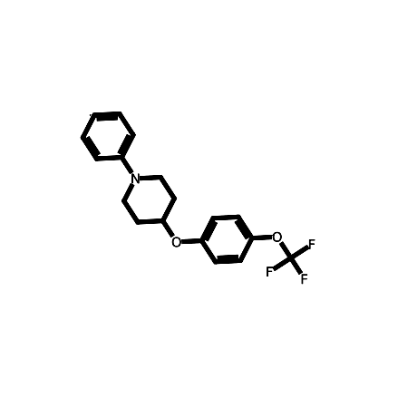 FC(F)(F)Oc1ccc(OC2CCN(c3cc[c]cc3)CC2)cc1